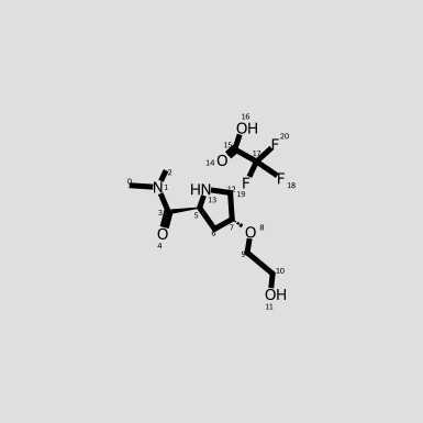 CN(C)C(=O)[C@@H]1C[C@@H](OCCO)CN1.O=C(O)C(F)(F)F